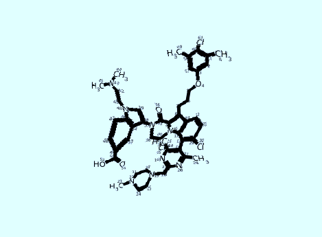 Cc1cc(OCCCc2c3n(c4c(-c5c(C)nc(CN6CCN(C)CC6)nc5C)c(Cl)ccc24)[C@H](C)CN(c2cn(CCN(C)C)c4ccc(C(=O)O)cc24)C3=O)cc(C)c1Cl